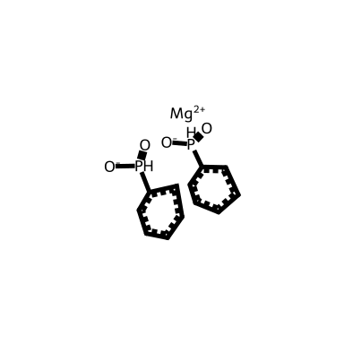 O=[PH]([O-])c1ccccc1.O=[PH]([O-])c1ccccc1.[Mg+2]